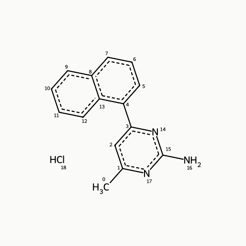 Cc1cc(-c2cccc3ccccc23)nc(N)n1.Cl